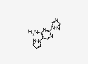 Nc1nc(-n2cncn2)ncc1-n1cccn1